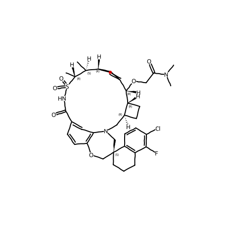 C[C@@H]1[C@@H](C)S(=O)(=O)NC(=O)c2ccc3c(c2)N(C[C@@H]2CC[C@H]2[C@@H](OCC(=O)N(C)C)C2=C[C@H]1C2)C[C@@]1(CCCc2c1ccc(Cl)c2F)CO3